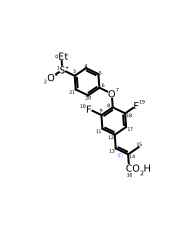 CC[S+]([O-])c1ccc(Oc2c(F)cc(/C=C(\C)C(=O)O)cc2F)cc1